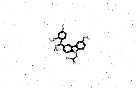 CCCCC(CC)Cn1c2ccc(N)cc2c2cc(/C(=N\OC(C)=O)c3ccc(F)cc3C)ccc21